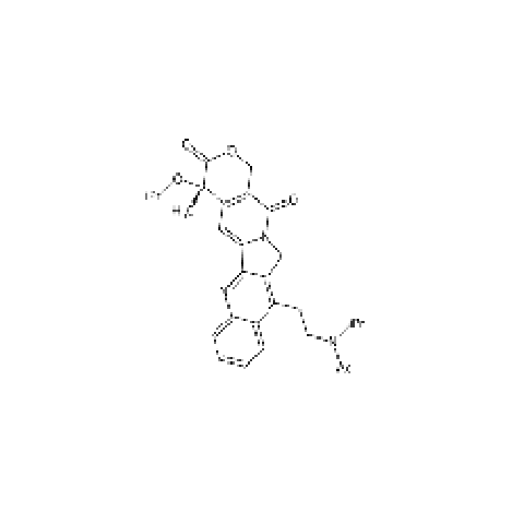 CC(=O)N(CCc1c2c(nc3ccccc13)-c1cc3c(c(=O)n1C2)COC(=O)[C@@]3(C)OC(C)C)C(C)C